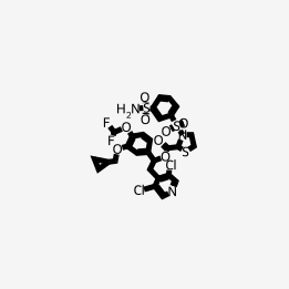 NS(=O)(=O)c1cccc(S(=O)(=O)N2CCSC2C(=O)OC(Cc2c(Cl)cncc2Cl)c2ccc(OC(F)F)c(OCC3CC3)c2)c1